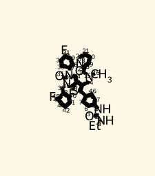 CCNC(=O)Nc1ccc(-c2sc3c(c2CN(C)Cc2ccccn2)c(=O)n(-c2ccc(F)cc2)c(=O)n3Cc2c(F)cccc2F)cc1